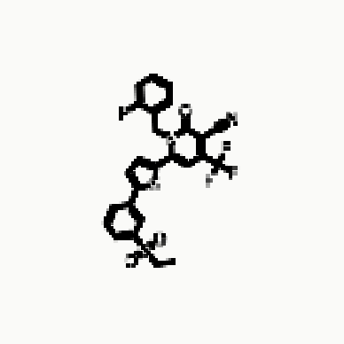 CCS(=O)(=O)c1cccc(-c2ccc(-c3cc(C(F)(F)F)c(C#N)c(=O)n3Cc3ccccc3F)s2)c1